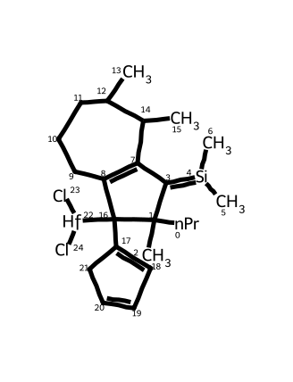 CCCC1(C)C(=[Si](C)C)C2=C(CCCC(C)C2C)[C]1(C1=CC=CC1)[Hf]([Cl])[Cl]